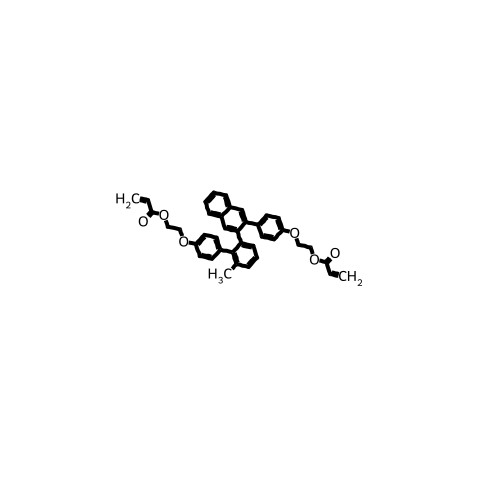 C=CC(=O)OCCOc1ccc(-c2cc3ccccc3cc2-c2cccc(C)c2-c2ccc(OCCOC(=O)C=C)cc2)cc1